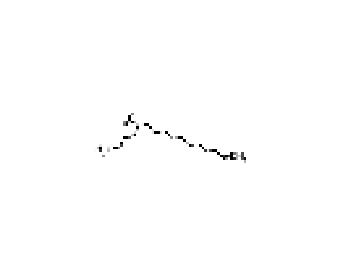 C=CCCCCCCCCCC(C)CCCC